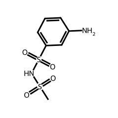 CS(=O)(=O)NS(=O)(=O)c1cccc(N)c1